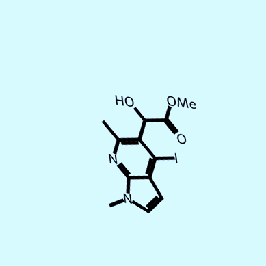 COC(=O)C(O)c1c(C)nc2c(ccn2C)c1I